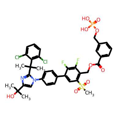 CC(C)(O)c1cn(-c2ccc(-c3cc(S(C)(=O)=O)c(COC(=O)c4cccc(COP(=O)(O)O)c4)c(F)c3F)cc2)c(C(C)(C)c2c(Cl)cccc2Cl)n1